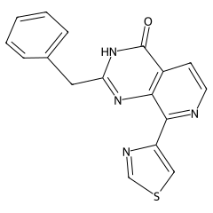 O=c1[nH]c(Cc2ccccc2)nc2c(-c3cscn3)nccc12